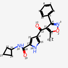 CCc1onc(-c2ccccc2)c1C(=O)c1c[nH]c(C(=O)NC2CCC2)c1